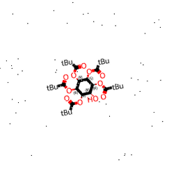 CC(C)(C)C(=O)O[C@@H]1[C@@H](OC(=O)C(C)(C)C)[C@H](OC(=O)C(C)(C)C)[C@H](O)[C@H](OC(=O)C(C)(C)C)[C@H]1OC(=O)C(C)(C)C